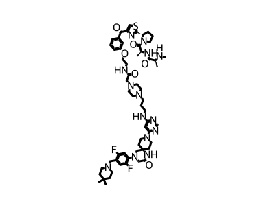 CN[C@@H](C)C(=O)N[C@@H](C)C(=O)N1CCC[C@H]1c1nc(C(=O)c2cccc(OCCNC(=O)CN3CCN(CCCNc4cc(N5CCC6(CC5)CN(c5cc(F)c(CN7CCC(C)(C)CC7)cc5F)CC(=O)N6)ncn4)CC3)c2)cs1